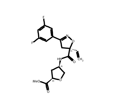 C=C[C@]1(C(=O)N[C@H]2CO[C@@H](C(=O)OC)C2)CC(c2cc(F)cc(F)c2)=NO1